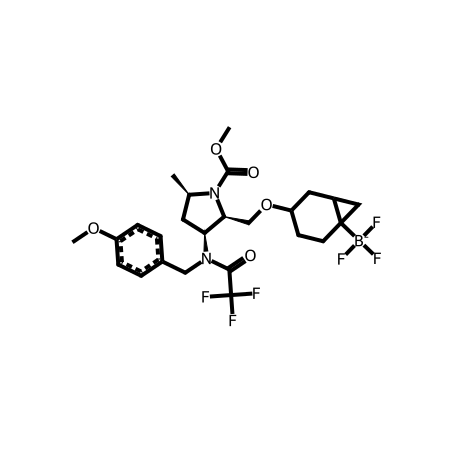 COC(=O)N1[C@H](C)C[C@H](N(Cc2ccc(OC)cc2)C(=O)C(F)(F)F)[C@@H]1COC1CCC2([B-](F)(F)F)CC2C1